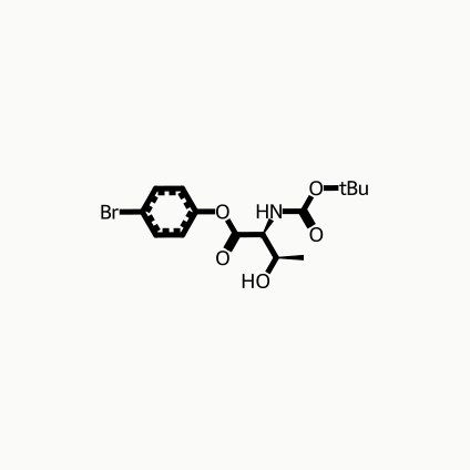 C[C@@H](O)[C@H](NC(=O)OC(C)(C)C)C(=O)Oc1ccc(Br)cc1